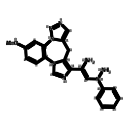 COc1ccc2c(c1)-n1nncc1Cc1c(/C(N)=C/N(N)c3ccccc3)ncn1-2